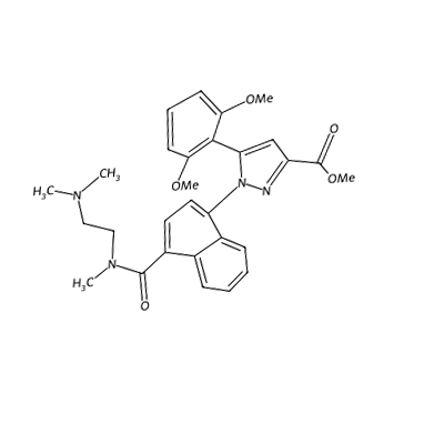 COC(=O)c1cc(-c2c(OC)cccc2OC)n(-c2ccc(C(=O)N(C)CCN(C)C)c3ccccc23)n1